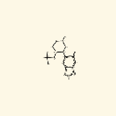 Cc1cc2[nH]ncc2cc1[C@@H]1CN(C)CCN1CC(C)(C)F